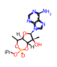 CC(C)OP1(=O)OC(C)[C@H]2O[C@@H](n3cnc4c(N)ncnc43)[C@](C)(O)[C@@H]2O1